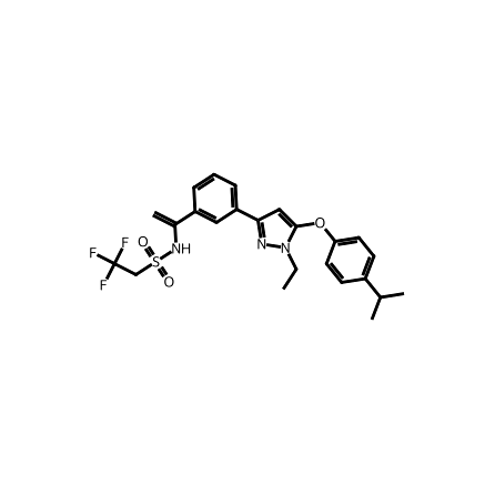 C=C(NS(=O)(=O)CC(F)(F)F)c1cccc(-c2cc(Oc3ccc(C(C)C)cc3)n(CC)n2)c1